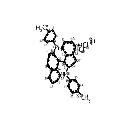 Cc1ccc(Pc2ccc3ccccc3c2-c2c(Pc3ccc(C)cc3)ccc3ccccc23)cc1.Cl.Cl.[Ru]